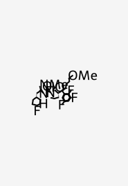 CNC[C@H](C[C@H]1CC[C@H](F)CC1)NC(=O)N1CCC[C@@H]([C@@](O)(CCCCOC)c2cc(F)cc(F)c2F)C1